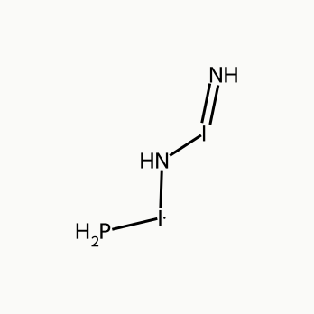 N=IN[I]P